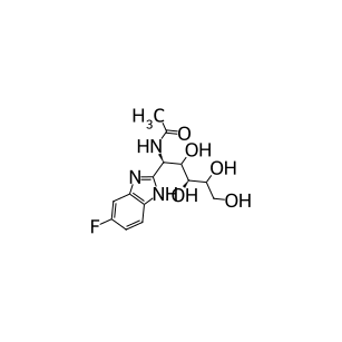 CC(=O)N[C@H](c1nc2cc(F)ccc2[nH]1)C(O)[C@H](O)C(O)CO